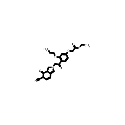 CCCOc1cc(OCC(=O)OCC)ccc1C(=O)CN1C=C2C=CC(C#N)C(=O)C2C1